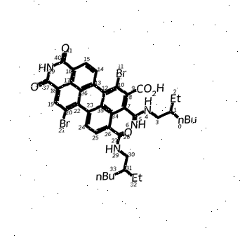 CCCCC(CC)CNC(=N)c1c(C(=O)O)c(Br)c2c3ccc4c5c(cc(Br)c(c6ccc(C(=O)NCC(CC)CCCC)c1c62)c53)C(=O)NC4=O